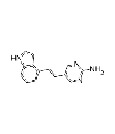 Nc1ncc(/C=C/c2cccc3[nH]ccc23)cn1